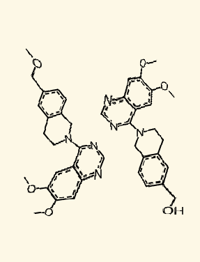 COCc1ccc2c(c1)CCN(c1ncnc3cc(OC)c(OC)cc13)C2.COc1cc2ncnc(N3CCc4cc(CO)ccc4C3)c2cc1OC